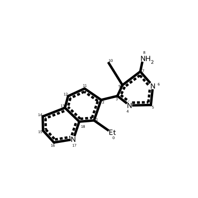 CCc1c(-c2ncnc(N)c2C)ccc2cccnc12